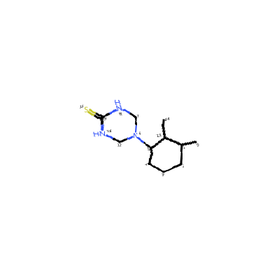 CC1CCCC(N2CNC(=S)NC2)C1C